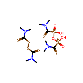 CN(C)C(=S)SSC(=S)N(C)C.CN(C)C(=S)[SH](=O)(O)O[SH](=O)(O)C(=S)N(C)C